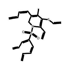 C=C/C=C\C1=C(C)C(SC=C)=C(C=C)N(S(=O)(=O)C(/C=C\C=C)=C/C=C)C1